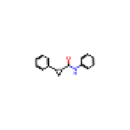 O=C(Nc1ccccc1)C1CC1c1ccccc1